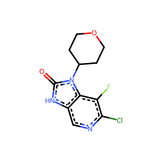 O=c1[nH]c2cnc(Cl)c(F)c2n1C1CCOCC1